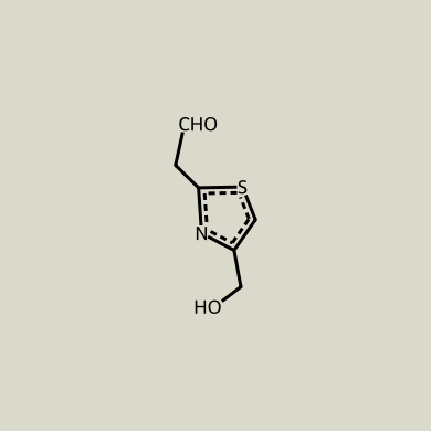 O=CCc1nc(CO)cs1